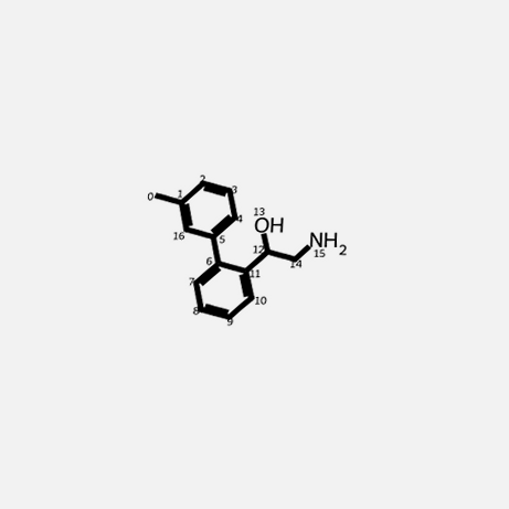 Cc1cccc(-c2ccccc2C(O)CN)c1